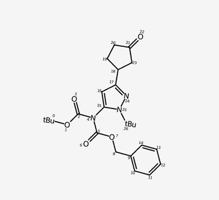 CC(C)(C)OC(=O)N(C(=O)OCc1ccccc1)c1cc(C2CCC(=O)C2)nn1C(C)(C)C